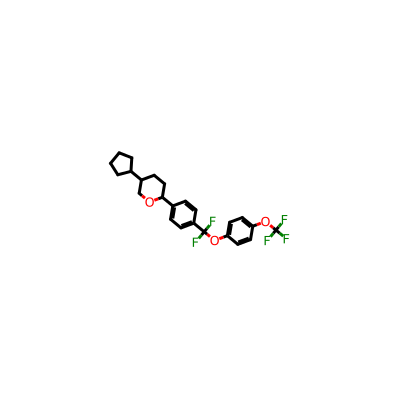 FC(F)(F)Oc1ccc(OC(F)(F)c2ccc(C3CCC(C4CCCC4)CO3)cc2)cc1